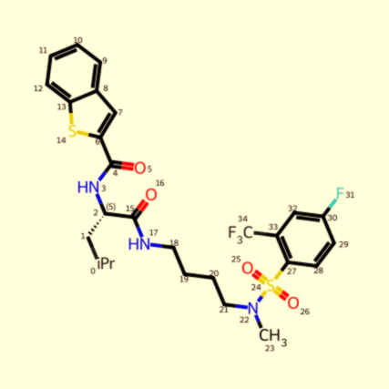 CC(C)C[C@H](NC(=O)c1cc2ccccc2s1)C(=O)NCCCCN(C)S(=O)(=O)c1ccc(F)cc1C(F)(F)F